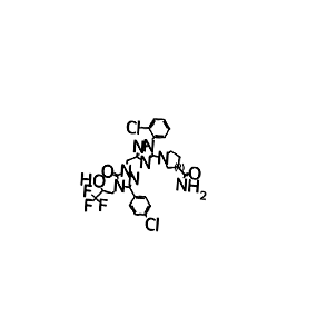 NC(=O)[C@@H]1CCN(c2nc(Cn3nc(-c4ccc(Cl)cc4)n(CC(O)C(F)(F)F)c3=O)nn2-c2ccccc2Cl)C1